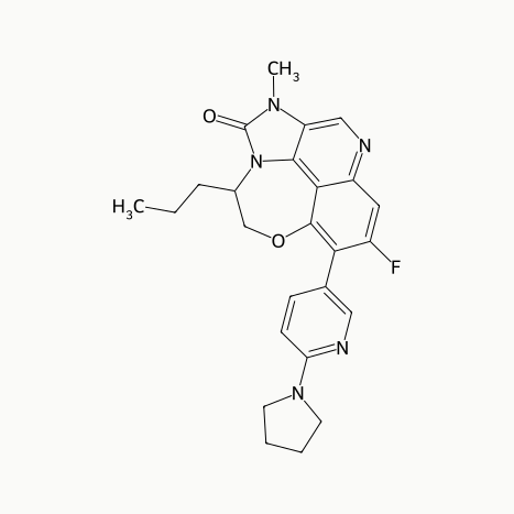 CCCC1COc2c(-c3ccc(N4CCCC4)nc3)c(F)cc3ncc4c(c23)n1c(=O)n4C